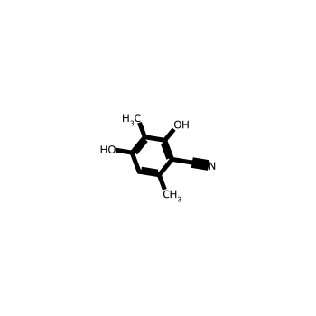 Cc1cc(O)c(C)c(O)c1C#N